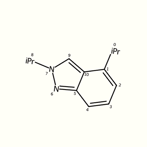 CC(C)c1cccc2nn(C(C)C)cc12